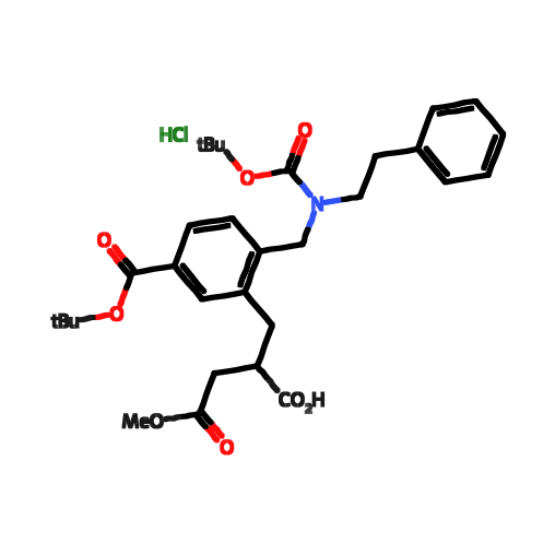 COC(=O)CC(Cc1cc(C(=O)OC(C)(C)C)ccc1CN(CCc1ccccc1)C(=O)OC(C)(C)C)C(=O)O.Cl